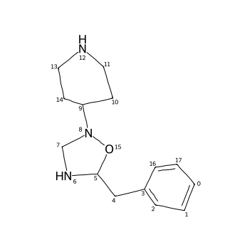 c1ccc(CC2NCN(C3CCNCC3)O2)cc1